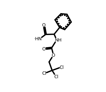 [NH]C(=O)C(NC(=O)OCC(Cl)(Cl)Cl)c1ccccc1